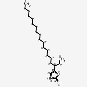 CCCCCCCCCCCCCCCCC(CC)c1c[nH]c(=O)o1